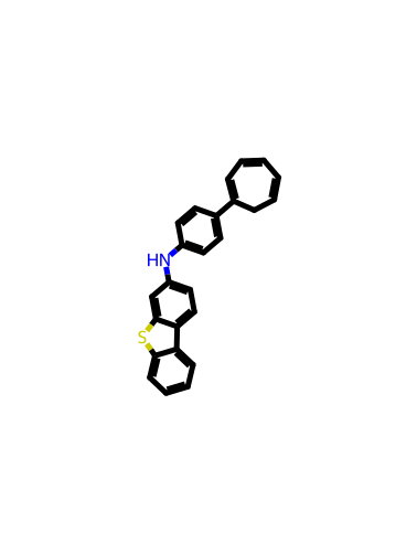 C1=CC=C(c2ccc(Nc3ccc4c(c3)sc3ccccc34)cc2)CC=C1